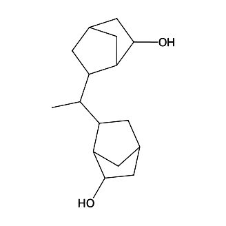 CC(C1CC2CC(O)C1C2)C1CC2CC(O)C1C2